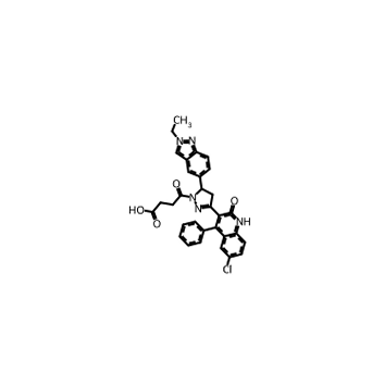 CCn1cc2cc(C3CC(c4c(-c5ccccc5)c5cc(Cl)ccc5[nH]c4=O)=NN3C(=O)CCC(=O)O)ccc2n1